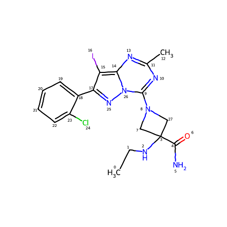 CCNC1(C(N)=O)CN(c2nc(C)nc3c(I)c(-c4ccccc4Cl)nn23)C1